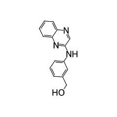 OCc1cccc(Nc2cnc3ccccc3n2)c1